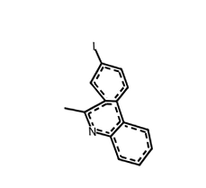 Cc1nc2ccccc2c2ccc(I)cc12